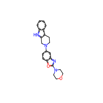 c1ccc2c3c([nH]c2c1)CN(c1ccc2oc(N4CCOCC4)nc2c1)CC3